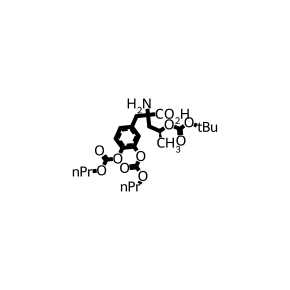 CCCOC(=O)Oc1ccc(CC(N)(C[C@H](C)OC(=O)OC(C)(C)C)C(=O)O)cc1OC(=O)OCCC